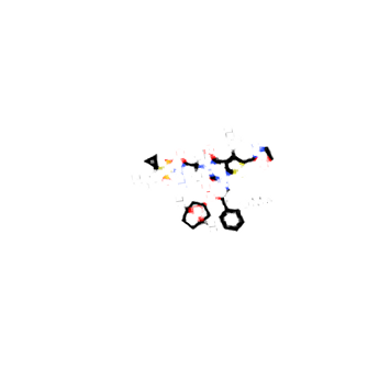 COc1ccccc1[C@H](Cn1c(=O)n(C(C)(C)C(=O)NS(=O)(=O)C2(C)CC2)c(=O)c2c(C)c(-c3ncco3)sc21)OC1C[C@H]2CC[C@@H](C1)O2